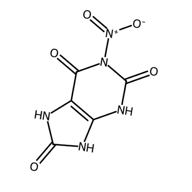 O=c1[nH]c2[nH]c(=O)n([N+](=O)[O-])c(=O)c2[nH]1